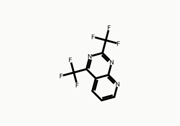 FC(F)(F)c1nc(C(F)(F)F)c2cccnc2n1